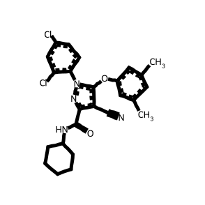 Cc1cc(C)cc(Oc2c(C#N)c(C(=O)NC3CCCCC3)nn2-c2ccc(Cl)cc2Cl)c1